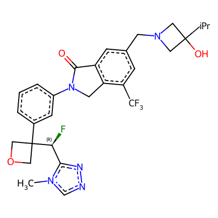 CC(C)C1(O)CN(Cc2cc3c(c(C(F)(F)F)c2)CN(c2cccc(C4([C@@H](F)c5nncn5C)COC4)c2)C3=O)C1